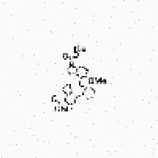 COC(=O)c1ccc(C2CCCCN2Cc2c(OC)cc(C)c3c2ccn3C(=O)OC(C)(C)C)c2c1CCO2